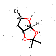 CC[C@@H]1CC2OC(C)(C)O[C@@H]2O1